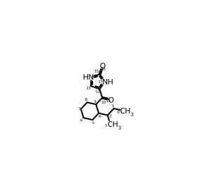 CCC(C)C1CCCCC1C(=O)c1c[nH]c(=O)[nH]1